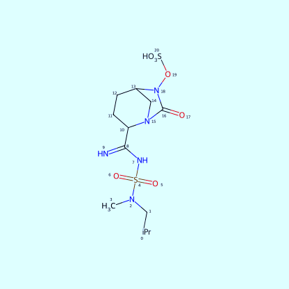 CC(C)CN(C)S(=O)(=O)NC(=N)C1CCC2CN1C(=O)N2OS(=O)(=O)O